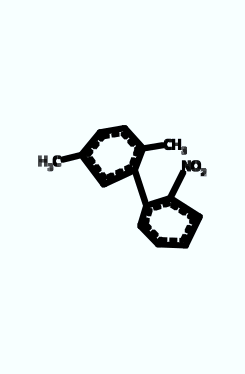 Cc1ccc(C)c(-c2ccccc2[N+](=O)[O-])c1